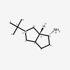 CC(C)(C)N1CC2CC[C@@H](N)[C@H]2C1